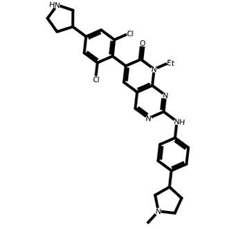 CCn1c(=O)c(-c2c(Cl)cc(C3CCNC3)cc2Cl)cc2cnc(Nc3ccc(C4CCN(C)C4)cc3)nc21